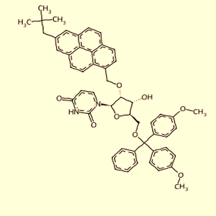 COc1ccc(C(OC[C@H]2O[C@@H](n3ccc(=O)[nH]c3=O)[C@H](OCc3ccc4ccc5cc(CC(C)(C)C)cc6ccc3c4c56)[C@@H]2O)(c2ccccc2)c2ccc(OC)cc2)cc1